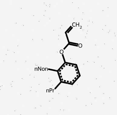 C=CC(=O)Oc1cccc(CCC)c1CCCCCCCCC